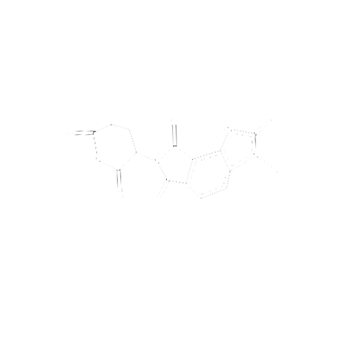 Cn1c(=O)[nH]c2c3c(ccc21)C(=O)N(C1CCC(=O)NC1=O)C3=O